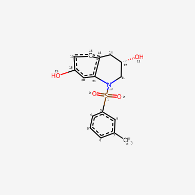 O=S(=O)(c1cccc(C(F)(F)F)c1)N1C[C@@H](O)Cc2ccc(O)cc21